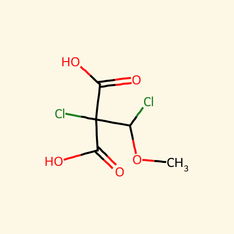 COC(Cl)C(Cl)(C(=O)O)C(=O)O